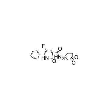 O=C(N[C@@H]1C=CS(=O)(=O)C1)c1cc(F)c(-c2ccccc2)[nH]c1=O